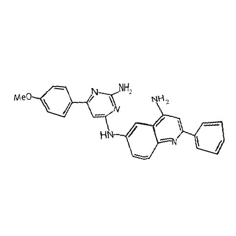 COc1ccc(-c2cc(Nc3ccc4nc(-c5ccccc5)cc(N)c4c3)nc(N)n2)cc1